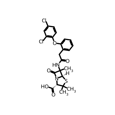 CC1(C)S[C@H]2N(C(=O)C2(C)NC(=O)Cc2ccccc2Oc2ccc(Cl)cc2Cl)[C@H]1C(=O)O